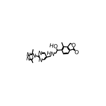 Cc1c(C(O)CNCc2cnc(-n3c(C)nnc3C)nc2)ccc2c1COC2=O